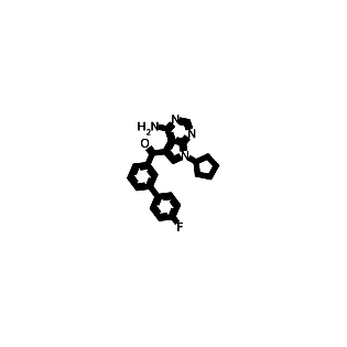 Nc1ncnc2c1c(C(=O)c1cccc(-c3ccc(F)cc3)c1)cn2C1CCCC1